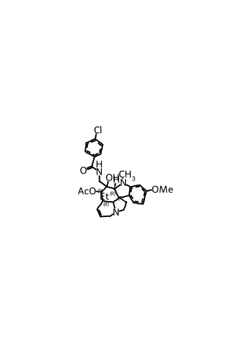 CC[C@]12C=CCN3CC[C@@]4(c5ccc(OC)cc5N(C)[C@H]4C(O)(CNC(=O)c4ccc(Cl)cc4)[C@@H]1OC(C)=O)C32